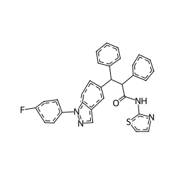 O=C(Nc1nccs1)C(c1ccccc1)C(c1ccccc1)c1ccc2c(cnn2-c2ccc(F)cc2)c1